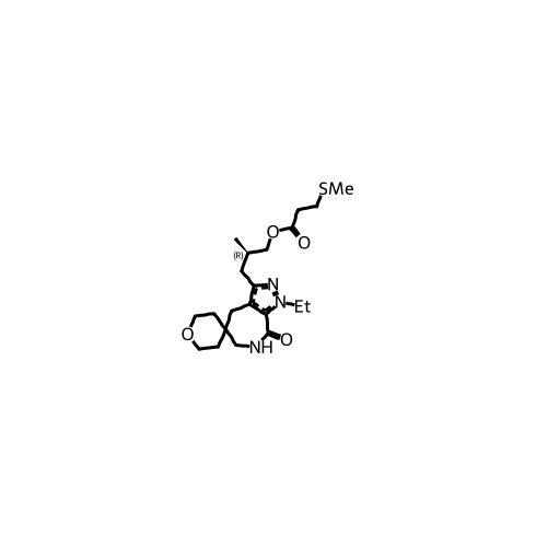 CCn1nc(C[C@@H](C)COC(=O)CCSC)c2c1C(=O)NCC1(CCOCC1)C2